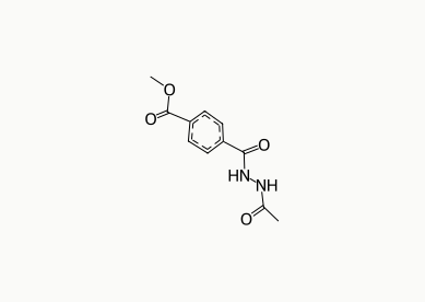 COC(=O)c1ccc(C(=O)NNC(C)=O)cc1